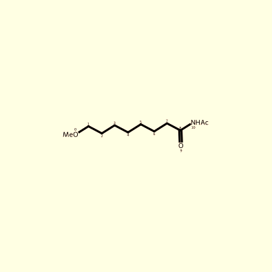 COCCCCCCCC(=O)NC(C)=O